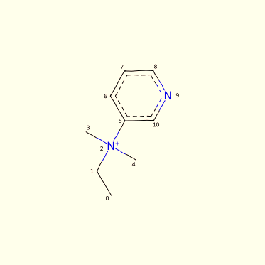 CC[N+](C)(C)c1cccnc1